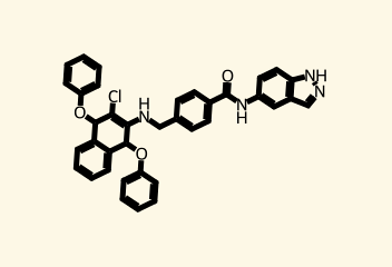 O=C(Nc1ccc2[nH]ncc2c1)c1ccc(CNC2=C(Cl)C(Oc3ccccc3)c3ccccc3C2Oc2ccccc2)cc1